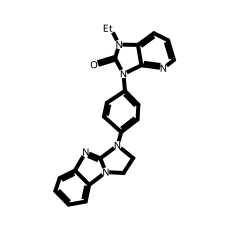 CCn1c(=O)n(-c2ccc(N3CCn4c3nc3ccccc34)cc2)c2ncccc21